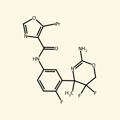 CC(C)c1ocnc1C(=O)Nc1ccc(F)c(C2(C)N=C(N)OCC2(F)F)c1